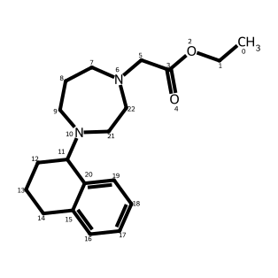 CCOC(=O)CN1CCCN(C2CCCc3ccccc32)CC1